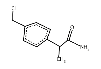 CC(C(N)=O)c1ccc(CCl)cc1